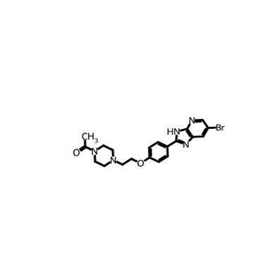 CC(=O)N1CCN(CCOc2ccc(-c3nc4cc(Br)cnc4[nH]3)cc2)CC1